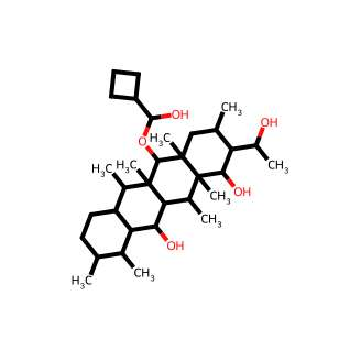 CC(O)C1C(C)CC2(C)C(OC(O)C3CCC3)C3(C)C(C)C4CCC(C)C(C)C4C(O)C3C(C)C2(C)C1O